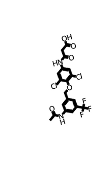 CC(=O)Nc1cc(COc2c(Cl)cc(NC(=O)CC(=O)O)cc2Cl)cc(C(F)(F)F)c1